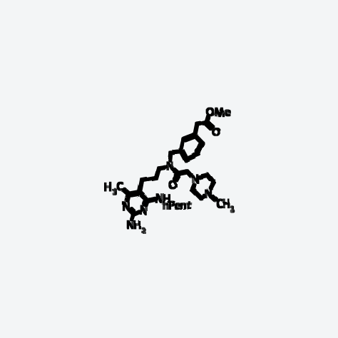 CCCCCNc1nc(N)nc(C)c1CCCN(Cc1cccc(CC(=O)OC)c1)C(=O)CN1CCN(C)CC1